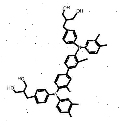 Cc1ccc(N(c2ccc(CC(CO)CO)cc2)c2ccc(-c3ccc(N(c4ccc(CC(CO)CO)cc4)c4ccc(C)c(C)c4)c(C)c3)cc2C)cc1C